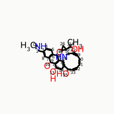 CNCc1ccc2c(c1)C(=O)c1c(O)cc3c(c1C2=O)N[C@H](C1([C@@H](C)O)CC1)C#C/C=C\C#C[C@H]3O